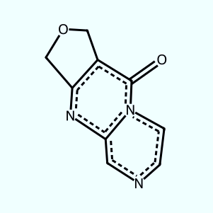 O=c1c2c(nc3cnccn13)COC2